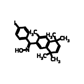 Cc1cc2c(cc1/C(=N/O)c1ccc(I)cc1)C(C)(C)C=CC2(C)C